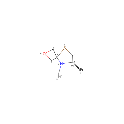 CC(C)[C@@H]1CSC2(COC2)N1C(C)C